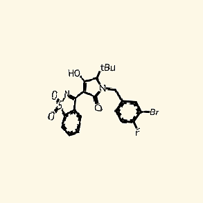 CC(C)(C)C1C(O)=C(C2=NS(=O)(=O)c3ccccc32)C(=O)N1Cc1ccc(F)c(Br)c1